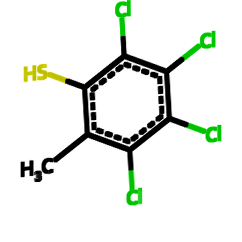 Cc1c(S)c(Cl)c(Cl)c(Cl)c1Cl